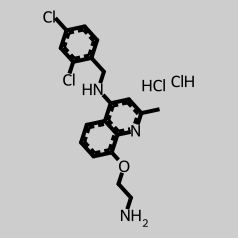 Cc1cc(NCc2ccc(Cl)cc2Cl)c2cccc(OCCN)c2n1.Cl.Cl